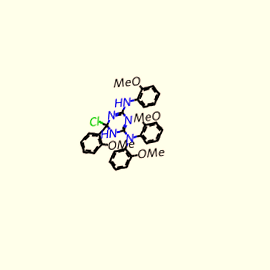 COc1ccccc1NC1=NC(Cl)(c2ccccc2OC)NC(N(c2ccccc2OC)c2ccccc2OC)=N1